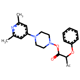 CC(=O)C(Oc1ccccc1)C(=O)ON1CCN(c2cc(C)nc(C)c2)CC1